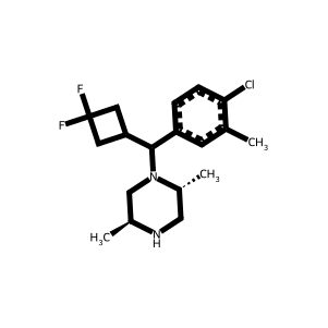 Cc1cc(C(C2CC(F)(F)C2)N2C[C@H](C)NC[C@H]2C)ccc1Cl